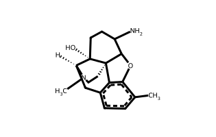 Cc1ccc2c3c1OC1C(N)CC[C@]4(O)[C@H](C2)N(C)CC[C@@]314